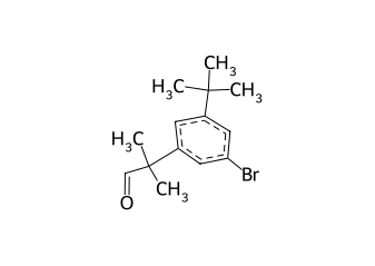 CC(C)(C)c1cc(Br)cc(C(C)(C)C=O)c1